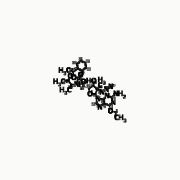 CCOc1nc(N)nc2c1ncn2[C@@H]1O[C@H](COP(=O)(N[C@@H](C)C(C)=O)OC(C)c2ccccc2)[C@@H](O)C1(C)N=[N+]=[N-]